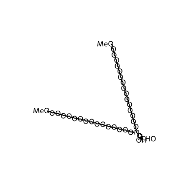 COCCOCCOCCOCCOCCOCCOCCOCCOCCOCCOCCOCCOCCOCCOCCOCCN(CCOCCOCCOCCOCCOCCOCCOCCOCCOCCOCCOCCOCCOCCOCCOCCOC)c1ccc(C=O)c(O)c1